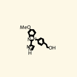 COc1ccc2c(c1)nc(-c1cc[nH]n1)n2-c1ccc(CCO)cc1